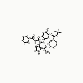 CC(C)(C)OC(=O)N1CCCCC[C@@H]1c1cc(Cl)ccc1CN(C(=S)NC(=O)c1ccccc1)c1nc[nH]c1C(N)=O